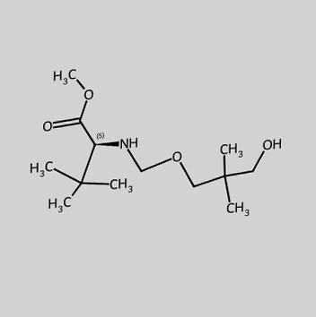 COC(=O)[C@@H](NCOCC(C)(C)CO)C(C)(C)C